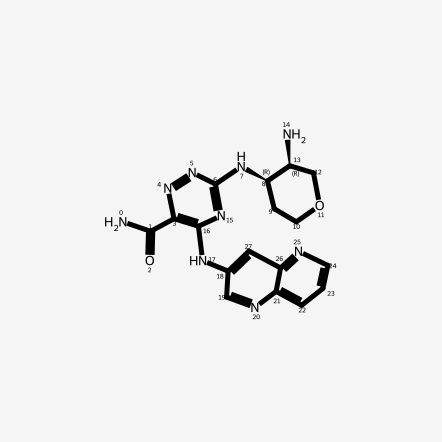 NC(=O)c1nnc(N[C@@H]2CCOC[C@@H]2N)nc1Nc1cnc2cccnc2c1